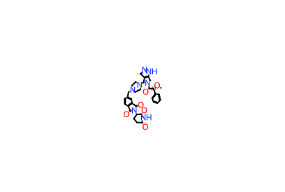 CO[C@@H](C(=O)N1Cc2[nH]n[c]c2C1N1CCN(Cc2ccc3c(c2)C(=O)N(C2CCC(=O)NC2=O)C3=O)CC1)c1ccccc1